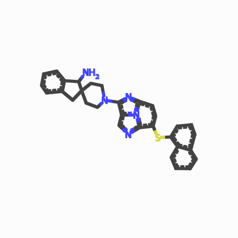 NC1c2ccccc2CC12CCN(c1nc3ccc(Sc4cccc5ccccc45)c4ncc1n34)CC2